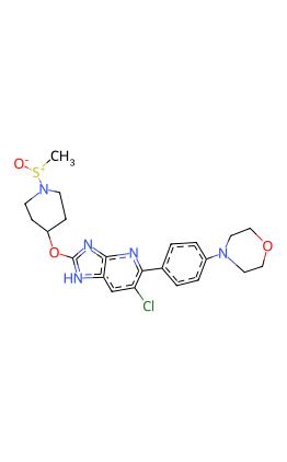 C[S+]([O-])N1CCC(Oc2nc3nc(-c4ccc(N5CCOCC5)cc4)c(Cl)cc3[nH]2)CC1